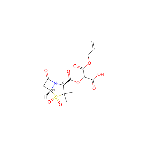 C=CCOC(=O)C(OC(=O)[C@@H]1N2C(=O)C[C@H]2S(=O)(=O)C1(C)C)C(=O)O